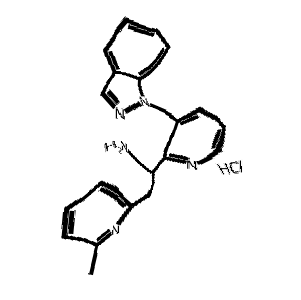 Cc1cccc(CC(N)c2ncccc2-n2ncc3ccccc32)n1.Cl